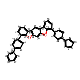 c1ccc(-c2ccc(-c3cccc4c3oc3cc5oc6c(-c7ccc(-c8ccccc8)cc7)cccc6c5cc34)cc2)cc1